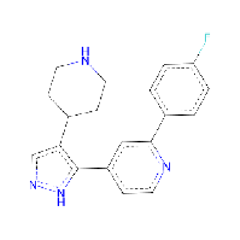 Fc1ccc(-c2cc(-c3[nH]ncc3C3CCNCC3)ccn2)cc1